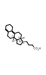 C[C@]12CCC3=C4CCCC=C4CC[C@H]3[C@@H]1CC[C@@H]2CCCC(=O)O